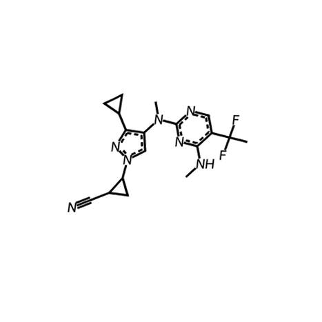 CNc1nc(N(C)c2cn(C3CC3C#N)nc2C2CC2)ncc1C(C)(F)F